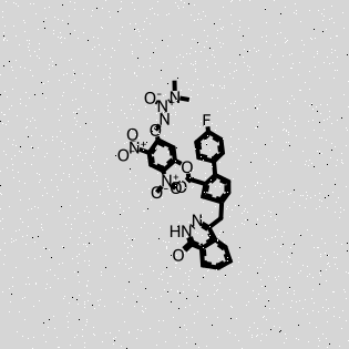 CN(C)/[N+]([O-])=N/Oc1cc(OC(=O)c2cc(Cc3n[nH]c(=O)c4ccccc34)ccc2-c2ccc(F)cc2)c([N+](=O)[O-])cc1[N+](=O)[O-]